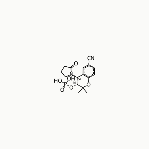 CC1(C)Oc2ccc(C#N)cc2[C@H](N2CCCC2=O)[C@H]1OP(=O)(O)O